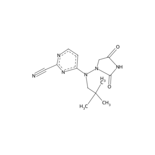 CC(C)(C)CN(c1ccnc(C#N)n1)N1CC(=O)NC1=O